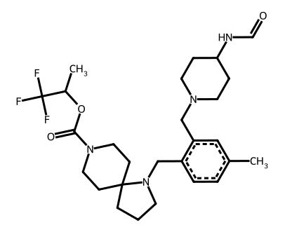 Cc1ccc(CN2CCCC23CCN(C(=O)OC(C)C(F)(F)F)CC3)c(CN2CCC(NC=O)CC2)c1